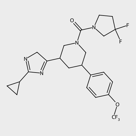 O=C(N1CC(C2=NC(C3CC3)=NC2)CC(c2ccc(OC(F)(F)F)cc2)C1)N1CCC(F)(F)C1